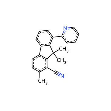 Cc1ccc2c(c1C#N)C(C)(C)c1c(-c3ccccn3)cccc1-2